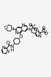 Cn1c(CN(c2cnc3cc(N4CCOCC4)nc(OC4CCC(NC(=O)c5ncccn5)CC4)c3c2)S(C)(=O)=O)cnc1[N+](=O)[O-]